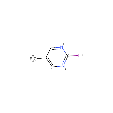 FC(F)(F)c1cnc(I)nc1